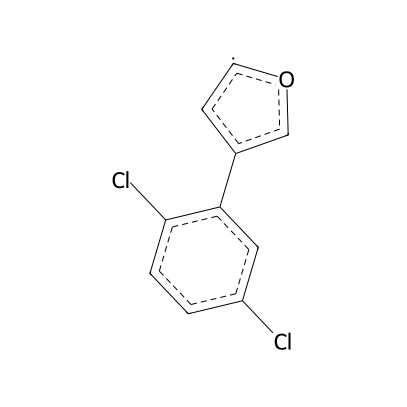 Clc1ccc(Cl)c(-c2c[c]oc2)c1